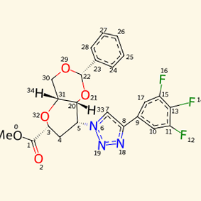 COC(=O)[C@H]1C[C@@H](n2cc(-c3cc(F)c(F)c(F)c3)nn2)[C@H]2O[C@@H](c3ccccc3)OC[C@H]2O1